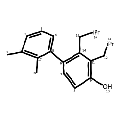 Cc1cccc(-c2ccc(O)c(CC(C)C)c2CC(C)C)c1C